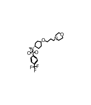 CN([C@H]1CC[C@H](OCCCN2CCOCC2)CC1)S(=O)(=O)c1ccc(C(F)(F)F)cc1